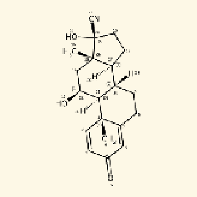 C[C@]12C=CC(=O)C=C1CC[C@@H]1[C@@H]2[C@@H](O)C[C@@]2(C)[C@H]1CC[C@]2(O)C#N